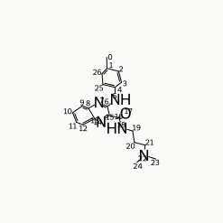 Cc1ccc(Nc2nc3ccccc3nc2C(=O)NCCCN(C)C)cc1